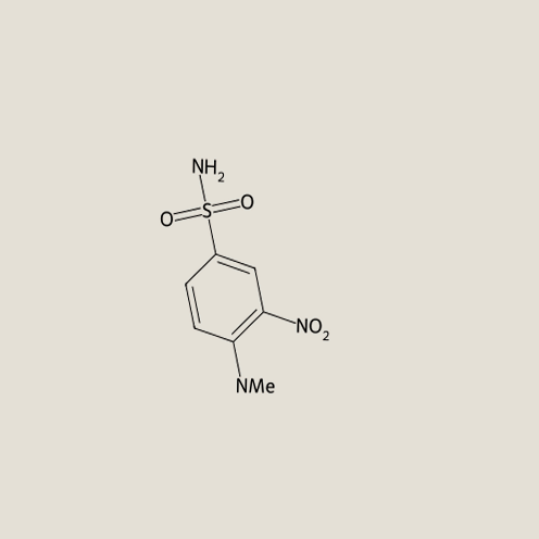 CNc1ccc(S(N)(=O)=O)cc1[N+](=O)[O-]